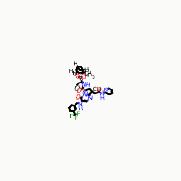 CC[C@H](NC(=O)[C@@H]1C[C@@](C)(CC(=O)Nc2ccccn2)c2ncc(NCc3cccc(C(F)(F)F)c3)c(=O)n21)B1O[C@@H]2C[C@@H]3C[C@@H](C3(C)C)[C@]2(C)O1